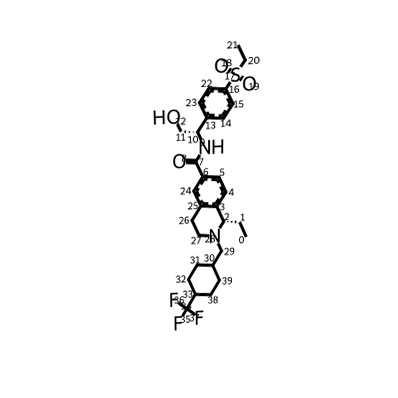 CC[C@H]1c2ccc(C(=O)N[C@H](CO)c3ccc(S(=O)(=O)CC)cc3)cc2CCN1CC1CCC(C(F)(F)F)CC1